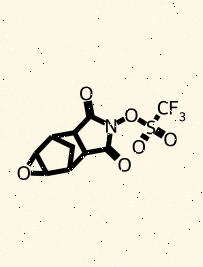 O=C1C2C3CC(C4OC34)C2C(=O)N1OS(=O)(=O)C(F)(F)F